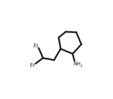 CCC(CC)CC1CCCCC1N